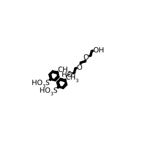 Cc1ccc(S(=O)(=O)O)cc1.Cc1ccc(S(=O)(=O)O)cc1.OCCOCCOCCO